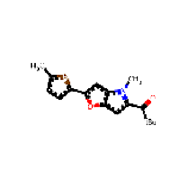 Cc1ccc(-c2cc3c(cc(C(=O)C(C)(C)C)n3C)o2)s1